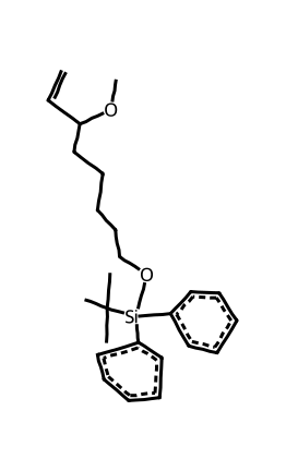 C=CC(CCCCCO[Si](c1ccccc1)(c1ccccc1)C(C)(C)C)OC